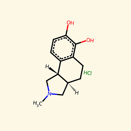 CN1C[C@@H]2CCc3c(ccc(O)c3O)[C@H]2C1.Cl